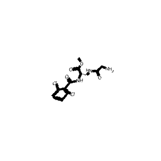 COC(=O)[C@H](CNC(=O)CN)NC(=O)c1c(Cl)cccc1Cl